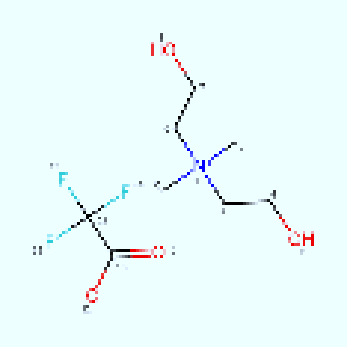 C[N+](C)(CCO)CCO.O=C([O-])C(F)(F)F